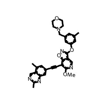 COc1ncc2c(Oc3cc(C)cc(CN4CCOCC4)c3)noc2c1C#Cc1cc(C)c2cnc(C)nc2c1